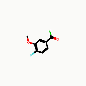 COc1cc(C(=O)Cl)ccc1F